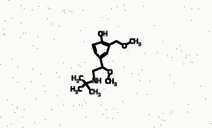 COCc1cc(C(CNC(C)(C)C)OC)ccc1O